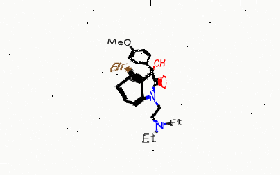 CCN(CC)CCN1C(=O)C(O)(c2ccc(OC)cc2)c2c(Br)cccc21